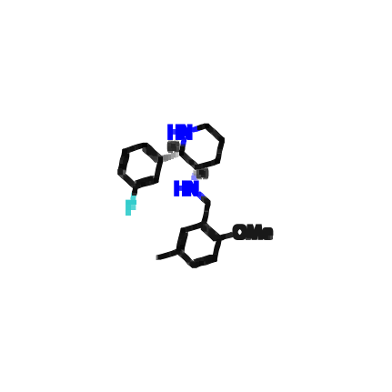 COc1ccc(C)cc1CN[C@H]1CCCN[C@H]1c1cccc(F)c1